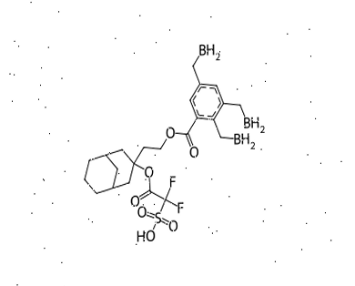 BCc1cc(CB)c(CB)c(C(=O)OCCC2(OC(=O)C(F)(F)S(=O)(=O)O)CC3CCCC(C3)C2)c1